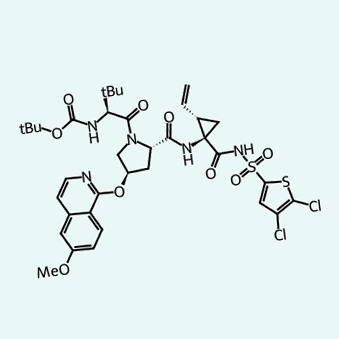 C=C[C@@H]1C[C@]1(NC(=O)[C@@H]1C[C@@H](Oc2nccc3cc(OC)ccc23)CN1C(=O)[C@@H](NC(=O)OC(C)(C)C)C(C)(C)C)C(=O)NS(=O)(=O)c1cc(Cl)c(Cl)s1